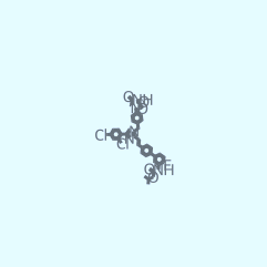 CC(C)OC(=O)Nc1cc(-c2ccc(/C=C/c3nc(-c4ccc(Cl)cc4Cl)cn3Cc3ccc(N4CC(=O)NS4(=O)=O)cc3)cc2)ccc1F